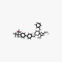 NCCC1(C(=O)O)CN(Cc2ccc(-c3ccc(C(O)(C(F)(F)F)C(F)(F)F)cc3)cc2)CCN1Cc1ccncc1